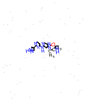 CC(C)n1c(OC2CNC2)nc2cnc(Nc3ccnc(-c4cn[nH]c4)n3)cc21